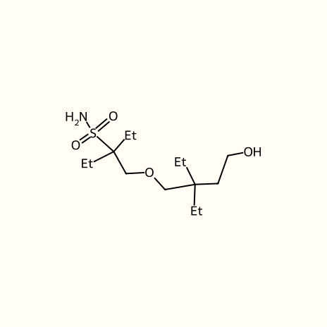 CCC(CC)(CCO)COCC(CC)(CC)S(N)(=O)=O